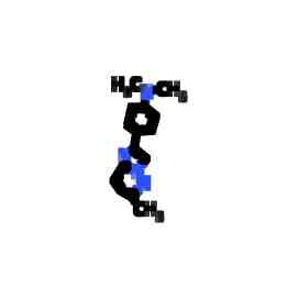 Cc1ccc2nc(-c3ccc(N(C)C)cc3)cn2n1